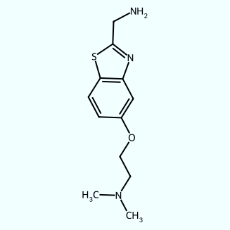 CN(C)CCOc1ccc2sc(CN)nc2c1